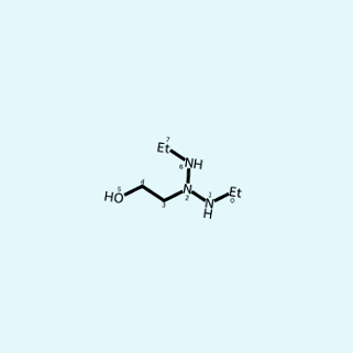 CCNN(CCO)NCC